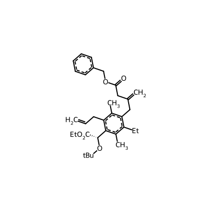 C=CCc1c(C)c(CC(=C)CC(=O)OCc2ccccc2)c(CC)c(C)c1[C@H](OC(C)(C)C)C(=O)OCC